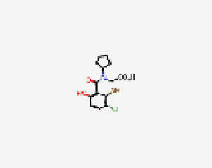 O=C(O)CN(C(=O)c1c(O)ccc(Cl)c1S)C1CCCC1